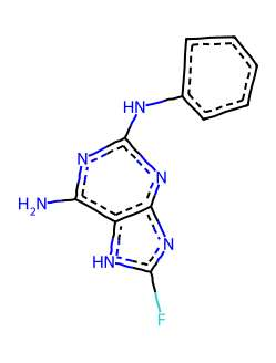 Nc1nc(Nc2ccccc2)nc2nc(F)[nH]c12